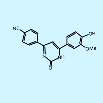 COc1cc(-c2cc(-c3ccc(C#N)cc3)nc(=O)[nH]2)ccc1O